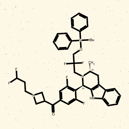 C[C@@H]1Cc2c([nH]c3ccccc23)[C@@H](c2c(F)cc(C(=O)C3CN(CCC(F)F)C3)cc2F)N1CC(F)(F)CO[Si](c1ccccc1)(c1ccccc1)C(C)(C)C